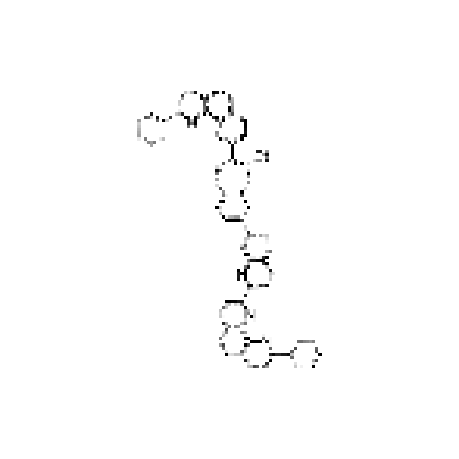 CCC1=C(c2ccc3ccc4ccc(-c5ccccc5)nc4c3n2)C=CC2=CC=C(c3ccc4ccc(-c5ccc6ccc7ccc(-c8ccccc8)nc7c6n5)nc4c3)CC2C1